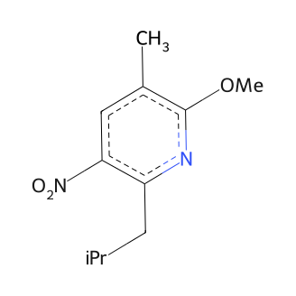 COc1nc(CC(C)C)c([N+](=O)[O-])cc1C